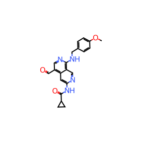 COc1ccc(CNc2ncc(C=O)c3cc(NC(=O)C4CC4)ncc23)cc1